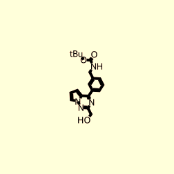 CC(C)(C)OC(=O)NCc1cccc(-c2nc(CO)nn3cccc23)c1